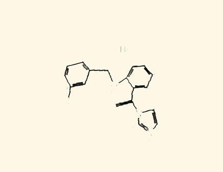 C=C(c1ccccc1OCc1cccc(Cl)c1)n1ccnc1.Cl